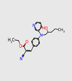 CCCC(O)CN(c1ccc(C=C(C#N)C(=O)OCC)cc1)c1cccnc1